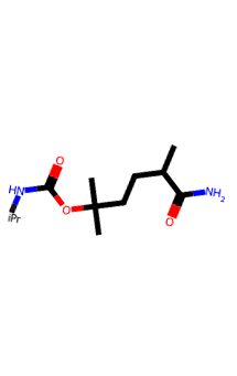 CC(C)NC(=O)OC(C)(C)CCC(C)C(N)=O